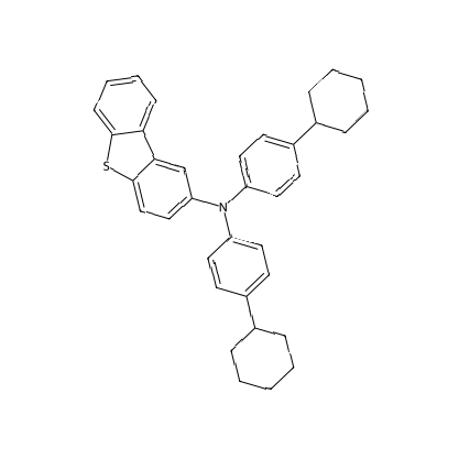 c1ccc2c(c1)sc1ccc(N(c3ccc(C4CCCCC4)cc3)c3ccc(C4CCCCC4)cc3)cc12